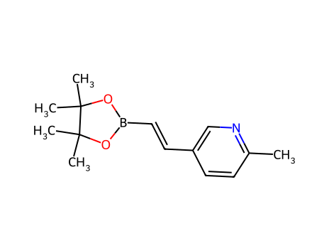 Cc1ccc(C=CB2OC(C)(C)C(C)(C)O2)cn1